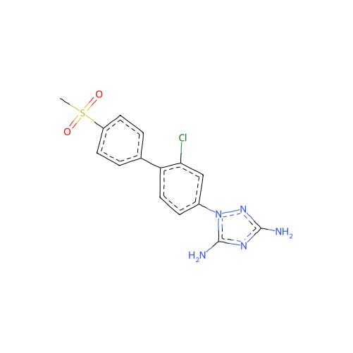 CS(=O)(=O)c1ccc(-c2ccc(-n3nc(N)nc3N)cc2Cl)cc1